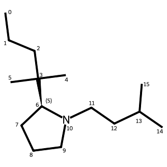 CCCC(C)(C)[C@@H]1CCCN1CCC(C)C